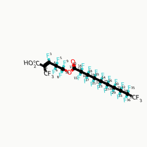 O=C(O)C(=C(F)C(F)(F)C(F)(F)OC(=O)C(F)(F)C(F)(F)C(F)(F)C(F)(F)C(F)(F)C(F)(F)C(F)(F)C(F)(F)C(F)(F)F)C(F)(F)F